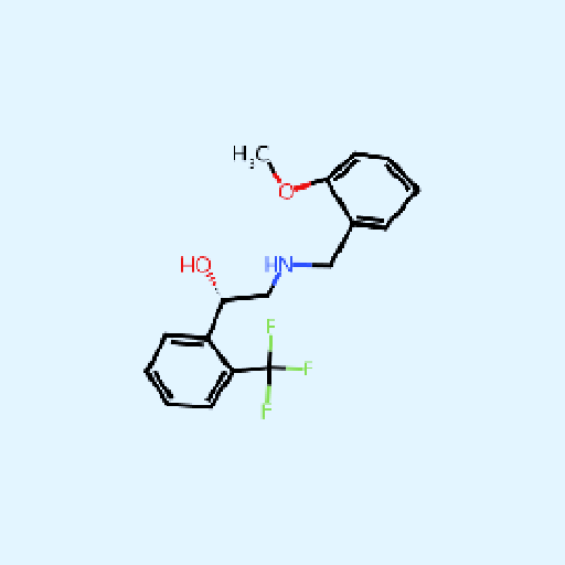 COc1ccccc1CNC[C@@H](O)c1ccccc1C(F)(F)F